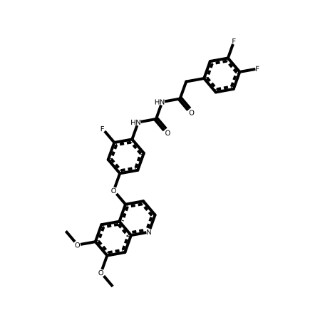 COc1cc2nccc(Oc3ccc(NC(=O)NC(=O)Cc4ccc(F)c(F)c4)c(F)c3)c2cc1OC